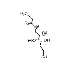 CCC(=O)NC[C@H](O)[C@@H](O)[C@H](O)CCO